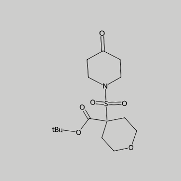 CC(C)(C)OC(=O)C1(S(=O)(=O)N2CCC(=O)CC2)CCOCC1